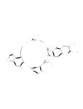 CC(Cc1cccc(C2(C)CCCC(C)(C)CSCCc3c(c(F)cc4[nH]ccc34)Sc3ccc(F)c(c3)-c3nc2nn3C)c1)C(=O)O